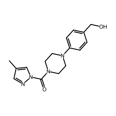 Cc1cnn(C(=O)N2CCN(c3ccc(CO)cc3)CC2)c1